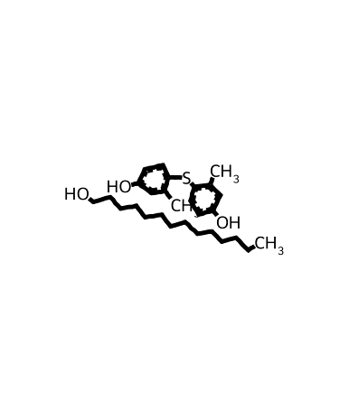 CCCCCCCCCCCCCCO.Cc1cc(O)ccc1Sc1ccc(O)cc1C